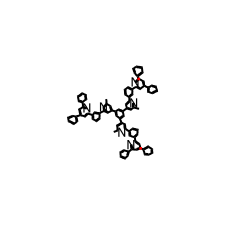 Cc1cc(-c2cc(-c3cc(C)nc(-c4cccc(-c5cc(-c6ccccc6)cc(-c6ccccc6)n5)c4)c3)cc(-c3cc(C)nc(-c4cccc(-c5cc(-c6ccccc6)cc(-c6ccccc6)n5)c4)c3)c2)cc(-c2cccc(-c3cc(-c4ccccc4)cc(-c4ccccc4)n3)c2)n1